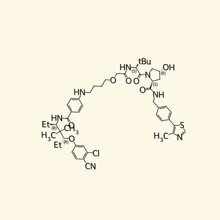 CC[C@@H](NC(=O)c1ccc(NCCCCOCC(=O)N[C@H](C(=O)N2C[C@H](O)C[C@H]2C(=O)NCc2ccc(-c3scnc3C)cc2)C(C)(C)C)cc1)C(C)(C)[C@@H](CC)Oc1ccc(C#N)c(Cl)c1